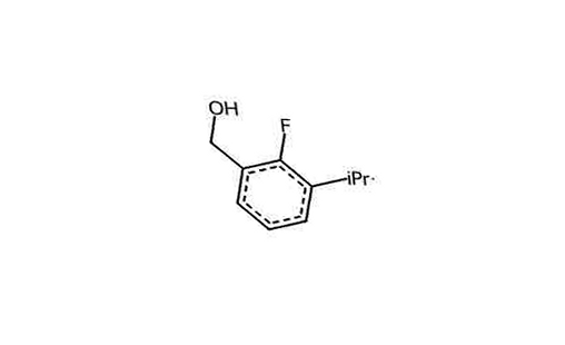 C[C](C)c1cccc(CO)c1F